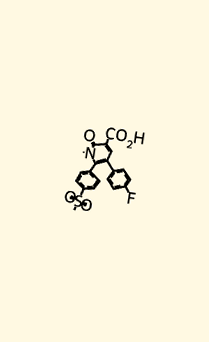 CS(=O)(=O)c1ccc(C2=C(c3ccc(F)cc3)C=C(C(=O)O)C(=O)[N]2)cc1